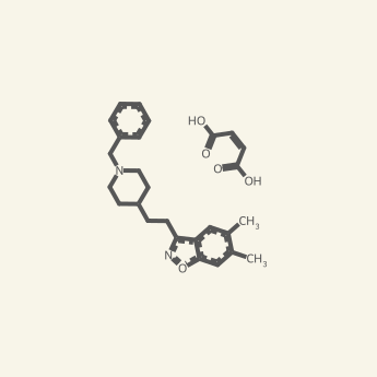 Cc1cc2onc(CCC3CCN(Cc4ccccc4)CC3)c2cc1C.O=C(O)/C=C\C(=O)O